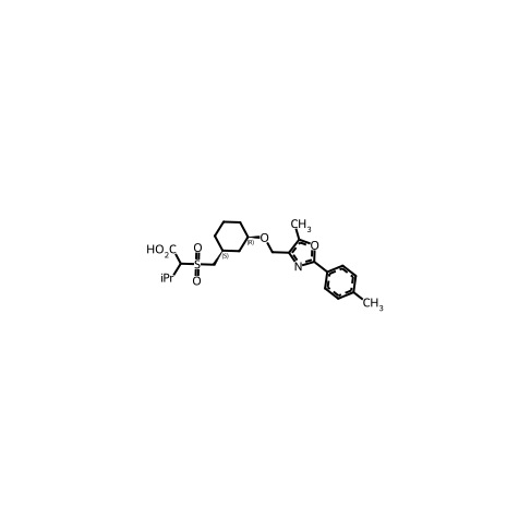 Cc1ccc(-c2nc(CO[C@@H]3CCC[C@H](CS(=O)(=O)C(C(=O)O)C(C)C)C3)c(C)o2)cc1